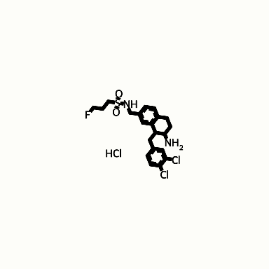 Cl.NC1CCc2ccc(CNS(=O)(=O)CCCF)cc2C1Cc1ccc(Cl)c(Cl)c1